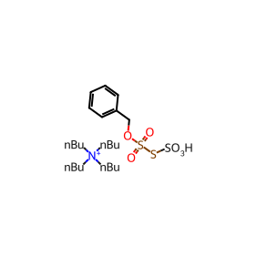 CCCC[N+](CCCC)(CCCC)CCCC.O=S(=O)(O)SS(=O)(=O)OCc1ccccc1